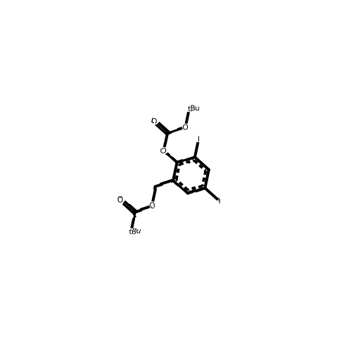 CC(C)(C)OC(=O)Oc1c(I)cc(I)cc1COC(=O)C(C)(C)C